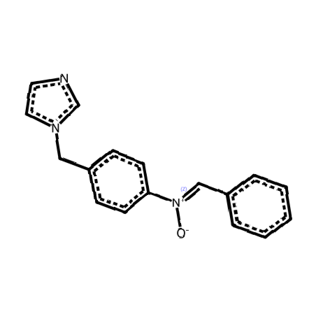 [O-]/[N+](=C\c1ccccc1)c1ccc(Cn2ccnc2)cc1